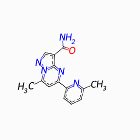 Cc1cccc(-c2cc(C)n3ncc(C(N)=O)c3n2)n1